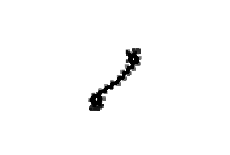 Oc1ccc(CCCCCCCCCCCCc2ccc(O)c(F)c2)cc1F